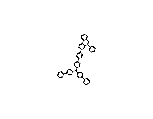 c1ccc(-c2ccc(N(c3ccc(-c4ccccc4)cc3)c3ccc(-c4ccc(-c5ccc6c(c5)c(-c5ccccc5)cc5ccccc56)cc4)cc3)cc2)cc1